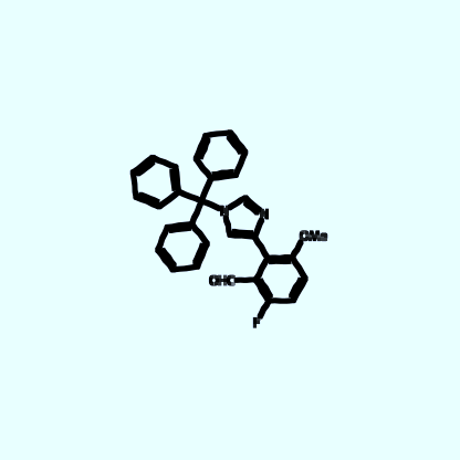 COc1ccc(F)c(C=O)c1-c1cn(C(c2ccccc2)(c2ccccc2)c2ccccc2)cn1